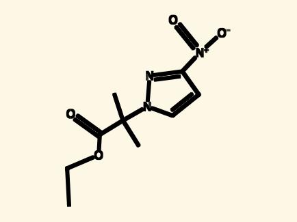 CCOC(=O)C(C)(C)n1ccc([N+](=O)[O-])n1